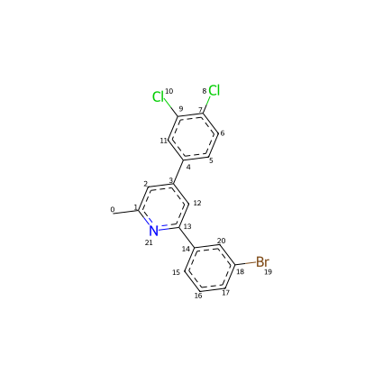 Cc1cc(-c2ccc(Cl)c(Cl)c2)cc(-c2cccc(Br)c2)n1